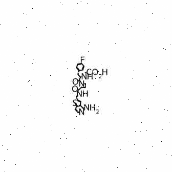 Nc1nccc2sc(CNC(=O)C3CCN3C(=O)C(Cc3ccc(F)cc3)NCC(=O)O)cc12